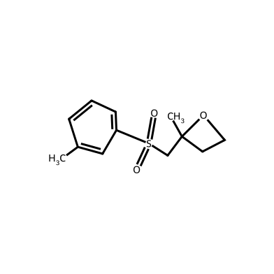 Cc1cccc(S(=O)(=O)CC2(C)CCO2)c1